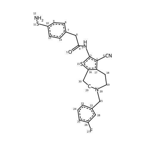 N#Cc1c(NC(=O)Cc2ccc(SN)cc2)sc2c1CCN(Cc1cccc(F)c1)CC2